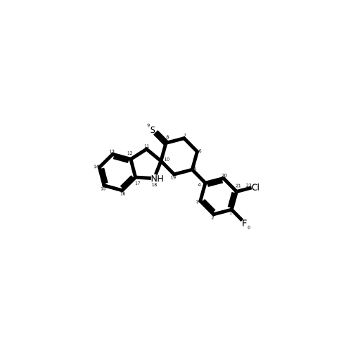 Fc1ccc(C2C[CH]C(=S)C3(Cc4ccccc4N3)C2)cc1Cl